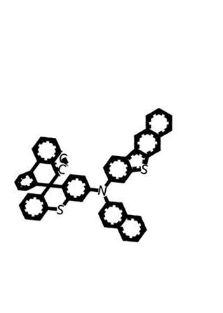 c1ccc2c(c1)Sc1cc(N(c3ccc4ccccc4c3)c3ccc4c(c3)sc3cc5ccccc5cc34)ccc1C21c2ccccc2-c2cccc3cccc1c23